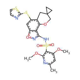 COc1cc(C)nc(OC)c1S(=O)(=O)Nc1noc2cc(Sc3nccs3)c3c(c12)OCC1(CC1)C3